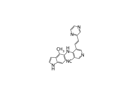 Cc1c(Nc2c(C#N)cncc2C=Cc2cnccn2)ccc2[nH]ccc12